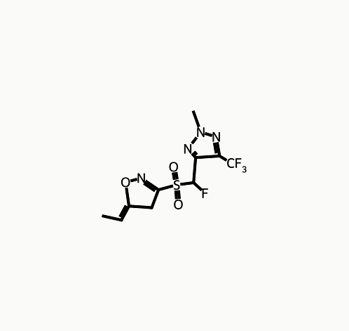 C/C=C1/CC(S(=O)(=O)C(F)c2nn(C)nc2C(F)(F)F)=NO1